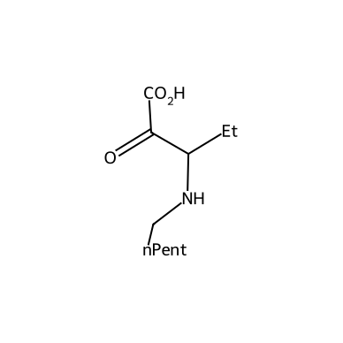 CCCCCCNC(CC)C(=O)C(=O)O